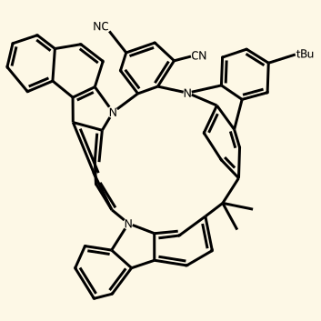 CC(C)(C)c1ccc2c(c1)c1cc3ccc1n2-c1c(C#N)cc(C#N)cc1-n1c2ccc(cc2c2c4ccccc4ccc21)-n1c2ccccc2c2ccc(cc21)C3(C)C